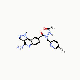 CCC(=O)N(C)N(Cc1ccc(C(F)(F)F)cn1)C(=O)c1ccc2nc(N)c3cnn(C)c3c2c1